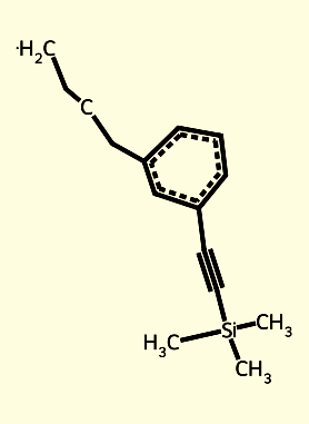 [CH2]CCCc1cccc(C#C[Si](C)(C)C)c1